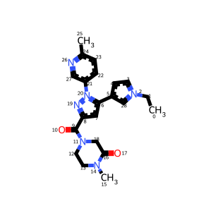 CCn1ccc(-c2cc(C(=O)N3CCN(C)C(=O)C3)nn2-c2ccc(C)nc2)c1